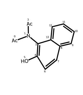 CC(=O)N(C(C)=O)c1c(O)ccc2ccccc12